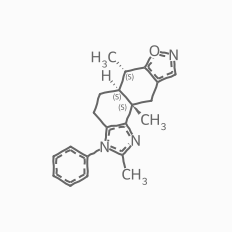 Cc1nc2c(n1-c1ccccc1)CC[C@H]1[C@H](C)c3oncc3C[C@]21C